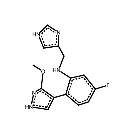 COc1n[nH]cc1-c1ccc(F)cc1NCc1c[nH]cn1